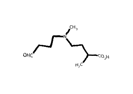 CC(CCN(C)CCCC=O)C(=O)O